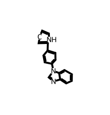 C1=CNC(c2ccc(-n3cnc4ccccc43)cc2)=CC1